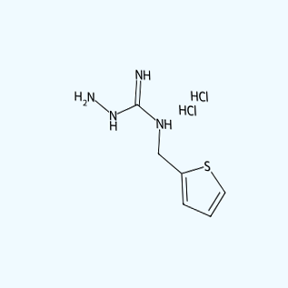 Cl.Cl.N=C(NN)NCc1cccs1